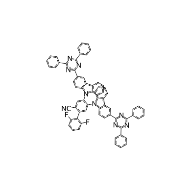 N#Cc1cc(-n2c3ccccc3c3cc(-c4nc(-c5ccccc5)nc(-c5ccccc5)n4)ccc32)c(-n2c3ccccc3c3cc(-c4nc(-c5ccccc5)nc(-c5ccccc5)n4)ccc32)cc1-c1c(F)cccc1F